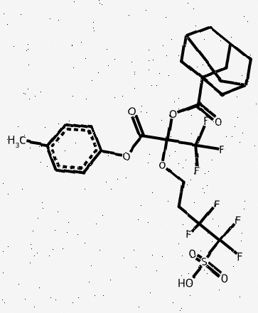 Cc1ccc(OC(=O)C(OCCC(F)(F)C(F)(F)S(=O)(=O)O)(OC(=O)C23CC4CC(CC(C4)C2)C3)C(F)(F)F)cc1